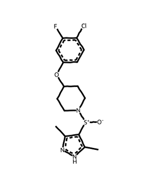 Cc1n[nH]c(C)c1[S+]([O-])N1CCC(Oc2ccc(Cl)c(F)c2)CC1